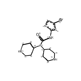 O=C(Nc1ncc(Br)s1)N(C1CCNCC1)C1CCNCC1